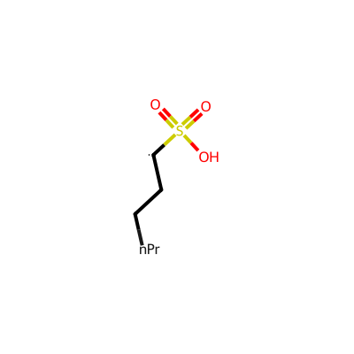 CCCCC[CH]S(=O)(=O)O